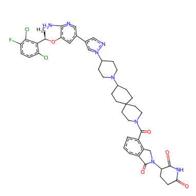 C[C@@H](Oc1cc(-c2cnn(C3CCN(C4CCC5(CC4)CCN(C(=O)c4cccc6c4CN(C4CCC(=O)NC4=O)C6=O)CC5)CC3)c2)cnc1N)c1c(Cl)ccc(F)c1Cl